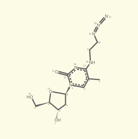 Cc1cn([C@H]2C[C@H](O)[C@@H](CO)O2)c(=O)nc1NCCN=[N+]=[N-]